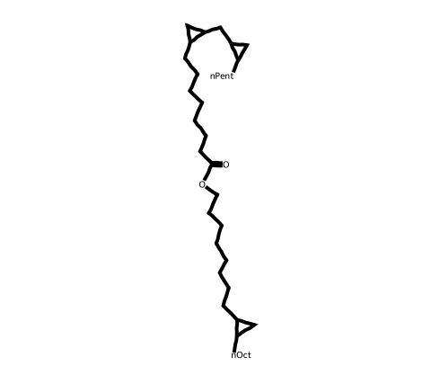 CCCCCCCCC1CC1CCCCCCCCOC(=O)CCCCCCCC1CC1CC1CC1CCCCC